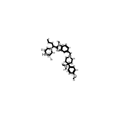 CCCC(c1nc2cc(CN3CCC(c4ccc(OC)cc4)(N(C)C)CC3)ccc2n1C)N1C[C@@H](C)N[C@@H](C)C1